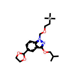 CC(C)COc1nn(COCC[Si](C)(C)C)c2ccc(C3OCCO3)cc12